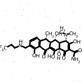 C[C@H]1c2ccc(CNCCC(F)(F)F)c(O)c2C(=O)C2=C(O)[C@]3(O)C(=O)C(C(N)=O)=C(O)[C@@H](N(C)C)C3[C@@H](O)C21